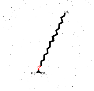 CCCCCCCCC=CCCCCCCCCOC(C)C